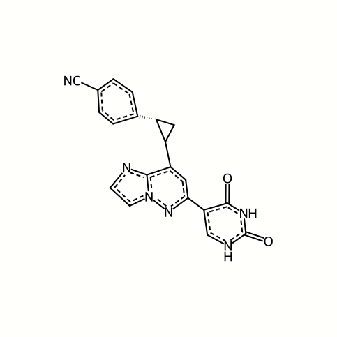 N#Cc1ccc([C@@H]2CC2c2cc(-c3c[nH]c(=O)[nH]c3=O)nn3ccnc23)cc1